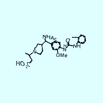 COc1cc(C(NC(C)=O)C2CCN(C(C)CC(=O)O)CC2)ccc1NC(=O)Nc1ccccc1C